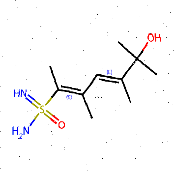 C/C(=C\C(C)=C(/C)S(=N)(N)=O)C(C)(C)O